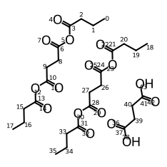 CCCC(=O)OC(=O)CCC(=O)OC(=O)CCC.CCCC(=O)OC(=O)CCC(=O)OC(=O)CCC.O=C(O)CCC(=O)O